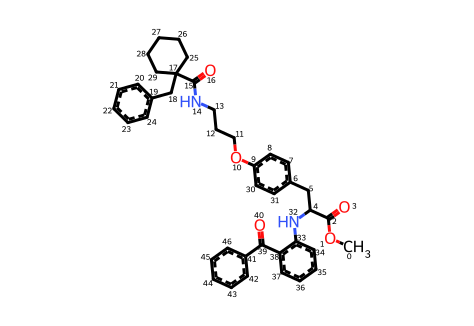 COC(=O)C(Cc1ccc(OCCCNC(=O)C2(Cc3ccccc3)CCCCC2)cc1)Nc1ccccc1C(=O)c1ccccc1